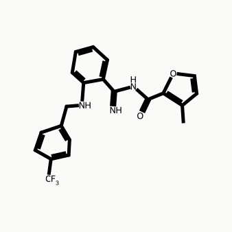 Cc1ccoc1C(=O)NC(=N)c1ccccc1NCc1ccc(C(F)(F)F)cc1